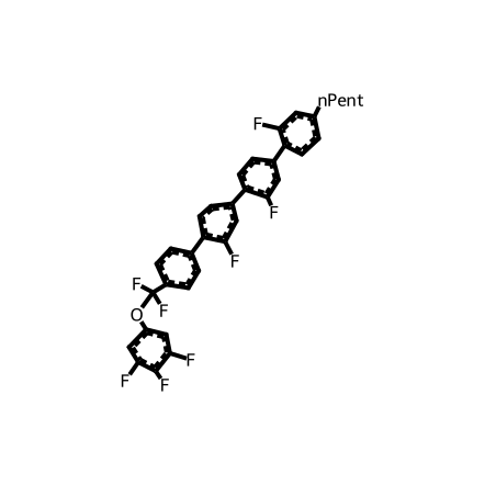 CCCCCc1ccc(-c2ccc(-c3ccc(-c4ccc(C(F)(F)Oc5cc(F)c(F)c(F)c5)cc4)c(F)c3)c(F)c2)c(F)c1